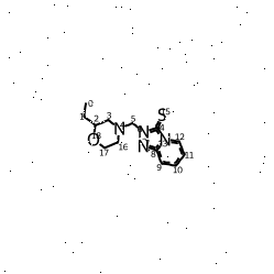 CCC1CN(Cn2nc3ccccn3c2=S)CCO1